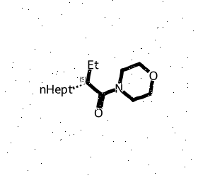 CCCCCCC[C@H](CC)C(=O)N1CCOCC1